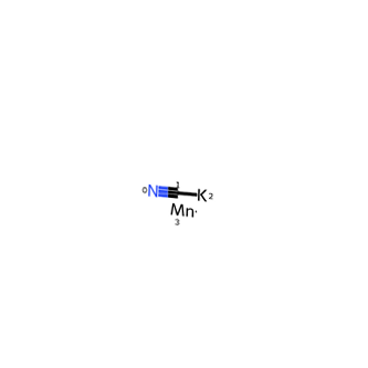 N#[C][K].[Mn]